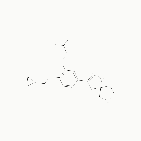 CC(C)COc1cc(C2=NOC3(CCOC3)C2)ccc1OCC1CC1